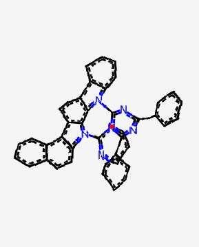 c1ccc(-c2nc(-c3ccccc3)nc(-n3c4ccccc4c4ccc5c6c7ccccc7ccc6n(-c6ncccn6)c5c43)n2)cc1